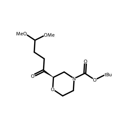 COC(CCC(=O)[C@H]1CN(C(=O)OC(C)(C)C)CCO1)OC